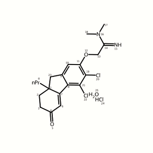 CCCC12CCC(=O)C=C1c1c(cc(OCC(=N)N(C)C)c(Cl)c1Cl)C2.Cl.O